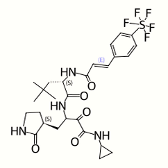 CC(C)(C)C[C@H](NC(=O)/C=C/c1ccc(S(F)(F)(F)(F)F)cc1)C(=O)NC(C[C@@H]1CCNC1=O)C(=O)C(=O)NC1CC1